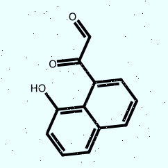 O=CC(=O)c1cccc2cccc(O)c12